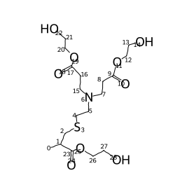 CC(CSCCN(CCC(=O)OCCO)CCC(=O)OCCO)C(=O)OCCO